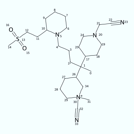 CC([CH]CCN1CCCCC1CCS(C)(=O)=O)(C1CCN(CC#N)CC1)C1CCC[N+](C)(C#N)C1